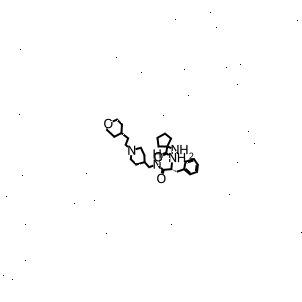 NC1(C(=O)N[C@H](Cc2ccccc2)C(=O)NCC2CCN(CCC3CCOCC3)CC2)CCCC1